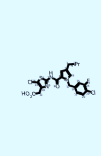 CC(C)Cc1cc(C(=O)Nc2nc(CC(=O)O)c(Cl)s2)n(Cc2ccc(Cl)c(F)c2)c1